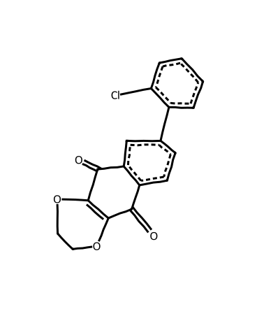 O=C1C2=C(OCCO2)C(=O)c2cc(-c3ccccc3Cl)ccc21